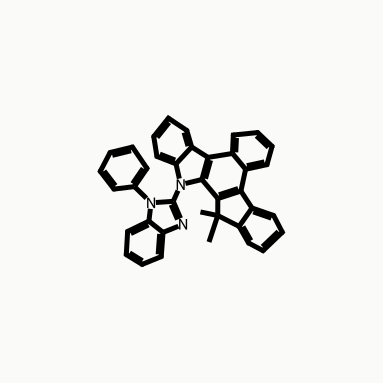 CC1(C)c2ccccc2-c2c1c1c(c3ccccc23)c2ccccc2n1-c1nc2ccccc2n1-c1ccccc1